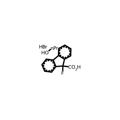 Br.CCCO.O=C(O)C1(F)c2ccccc2-c2ccccc21